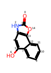 O=c1[nH]c2cc(O)c3ccccc3c2o1